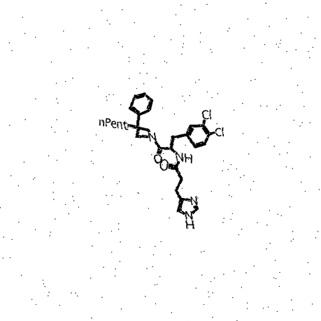 CCCCCC1(c2ccccc2)CN(C(=O)C(Cc2ccc(Cl)c(Cl)c2)NC(=O)CCc2c[nH]cn2)C1